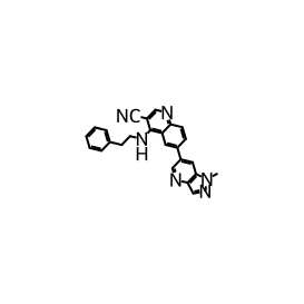 Cn1ncc2ncc(-c3ccc4ncc(C#N)c(NCCc5ccccc5)c4c3)cc21